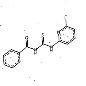 O=C(NC(=S)Nc1cccc(F)n1)c1ccccc1